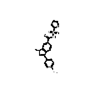 Cn1cc(-c2ccc(C(F)(F)F)cc2)c2ccc(C(=O)NS(=O)(=O)c3cccs3)cc21